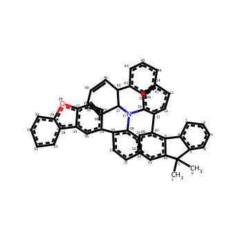 CC1(C)c2ccccc2-c2c(-c3ccccc3N(c3ccccc3-c3ccc4oc5ccccc5c4c3)C3C=CC=CC3c3ccccc3)cccc21